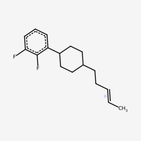 C/C=C/CCC1CCC(c2cccc(F)c2F)CC1